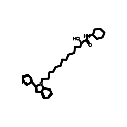 O=C(NC1CCCCC1)N(O)CCCCCCCCCCCCn1c(-c2cccnc2)cc2ccccc21